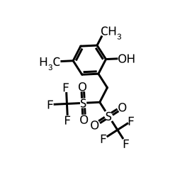 Cc1cc(C)c(O)c(CC(S(=O)(=O)C(F)(F)F)S(=O)(=O)C(F)(F)F)c1